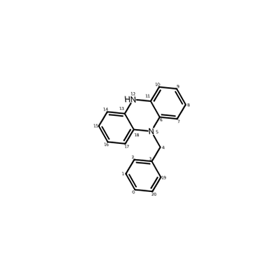 c1ccc(CN2c3ccccc3Nc3ccccc32)cc1